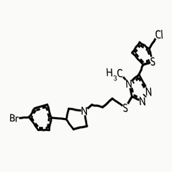 Cn1c(SCCCN2CCC(c3ccc(Br)cc3)C2)nnc1-c1ccc(Cl)s1